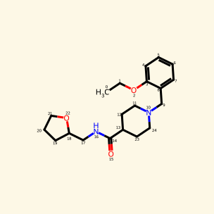 CCOc1ccccc1CN1CCC(C(=O)NCC2CCCO2)CC1